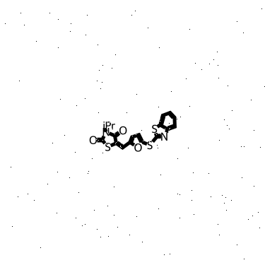 CC(C)N1C(=O)SC(=Cc2ccc(Sc3nc4ccccc4s3)o2)C1=O